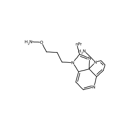 CCCC1=NC23C(=CC=CN2N)N=CC=C3N1CCCON